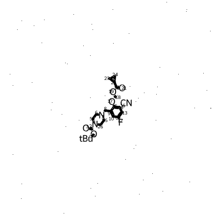 CC(C)(C)OC(=O)N1CCN(Cc2cc(F)cc(C#N)c2OCOC(=O)C2CC2)CC1